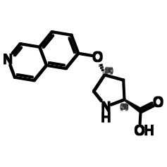 O=C(O)[C@@H]1C[C@@H](Oc2ccc3cnccc3c2)CN1